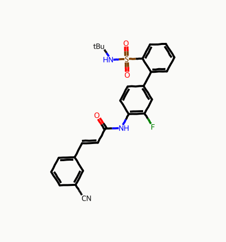 CC(C)(C)NS(=O)(=O)c1ccccc1-c1ccc(NC(=O)C=Cc2cccc(C#N)c2)c(F)c1